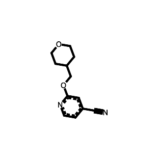 N#Cc1ccnc(OCC2CCOCC2)c1